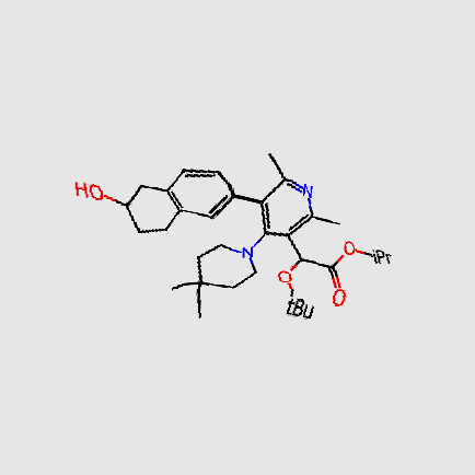 Cc1nc(C)c(C(OC(C)(C)C)C(=O)OC(C)C)c(N2CCC(C)(C)CC2)c1-c1ccc2c(c1)CCC(O)C2